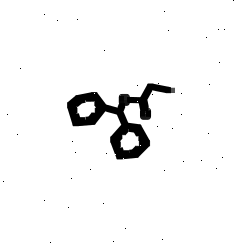 [CH2]CC(=O)OC(c1ccccc1)c1ccccc1